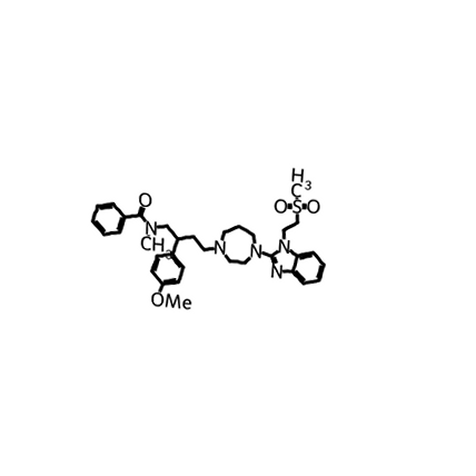 COc1ccc(C(CCN2CCCN(c3nc4ccccc4n3CCS(C)(=O)=O)CC2)CN(C)C(=O)c2ccccc2)cc1